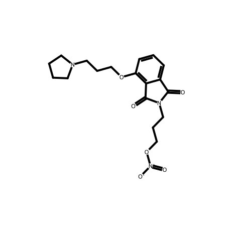 O=C1c2cccc(OCCCN3CCCC3)c2C(=O)N1CCCO[N+](=O)[O-]